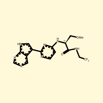 COC[C@H](Nc1ccnc(-c2c[nH]c3ncncc23)n1)C(=O)NCC(F)(F)F